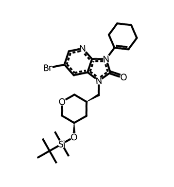 CC(C)(C)[Si](C)(C)O[C@H]1COC[C@@H](Cn2c(=O)n(C3=CCCCC3)c3ncc(Br)cc32)C1